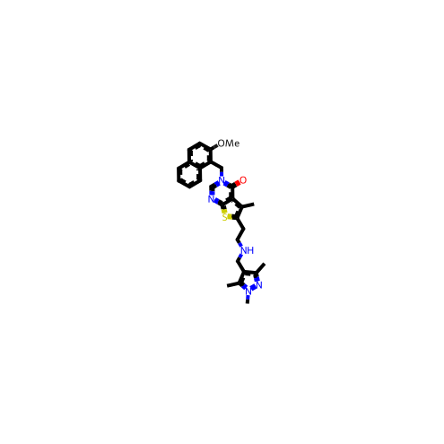 COc1ccc2ccccc2c1Cn1cnc2sc(CCNCc3c(C)nn(C)c3C)c(C)c2c1=O